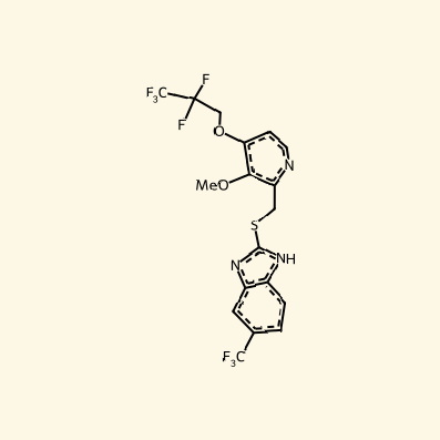 COc1c(OCC(F)(F)C(F)(F)F)ccnc1CSc1nc2cc(C(F)(F)F)ccc2[nH]1